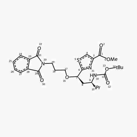 COC(=O)c1csc([C@@H](C[C@@H](NC(=O)OC(C)(C)C)C(C)C)OCCCN2C(=O)c3ccccc3C2=O)n1